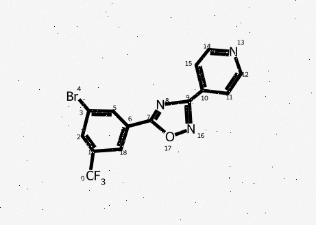 FC(F)(F)c1cc(Br)cc(-c2nc(-c3ccncc3)no2)c1